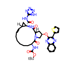 CC(C)(C)OC(=O)N[C@H]1CCCCC/C=C\[C@@H]2C[C@@]2(C(=O)Nc2nnn[nH]2)NC(=O)[C@@H]2C[C@@H](Oc3nc4ccccc4nc3-c3cccs3)CN2C1=O